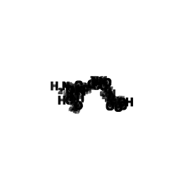 CCc1c2c(nc3ccc(OC(=O)N(C)CCN(C)C(=O)OCc4ccc(NC(=O)[C@H](CCCN)NC(=O)[C@@H](NC(O)CCC(=O)C(C)C)C(C)C)cc4)cc13)-c1cc3c(c(=O)n1C2)COC(=O)[C@]3(O)CC